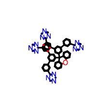 c1cc(-c2cc(-c3cccc(-c4ncncn4)c3)cc(C3(c4cc(-c5cccc(-c6ncncn6)c5)cc(-c5cccc(-c6ncncn6)c5)c4)c4ccccc4Oc4ccccc43)c2)cc(-c2ncncn2)c1